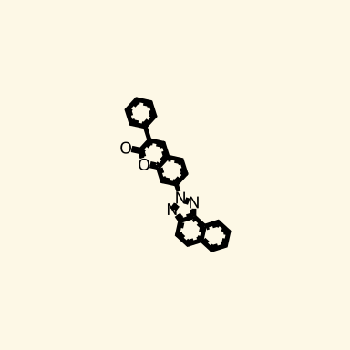 O=c1oc2cc(-n3nc4ccc5ccccc5c4n3)ccc2cc1-c1ccccc1